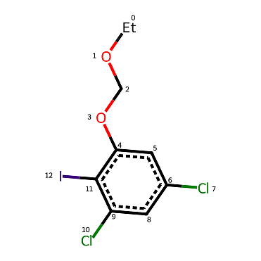 CCOCOc1cc(Cl)cc(Cl)c1I